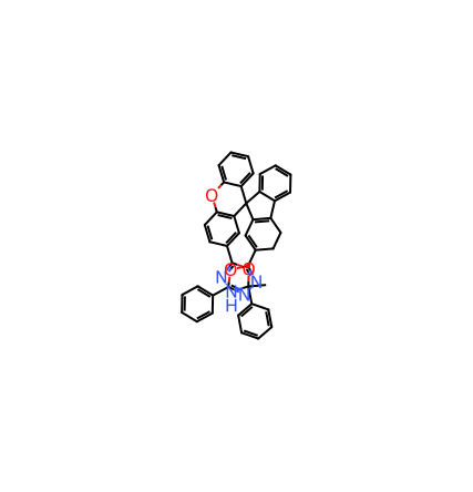 CC1(c2ccccc2)NN=C(c2ccc3c(c2)C2(C4=C(CCC(c5nnc(-c6ccccc6)o5)=C4)c4ccccc42)c2ccccc2O3)O1